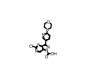 O=C(O)n1nc(-c2ccc(N3CCOCC3)nc2)c2nc(Cl)ncc21